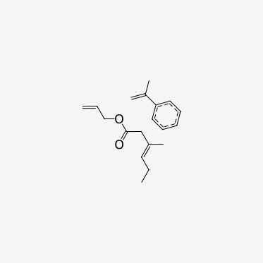 C=C(C)c1ccccc1.C=CCOC(=O)CC(C)=CCC